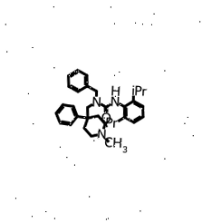 CC(C)c1cccc(C(C)C)c1NC(=O)N(Cc1ccccc1)CC1(c2ccccc2)CCN(C)CC1